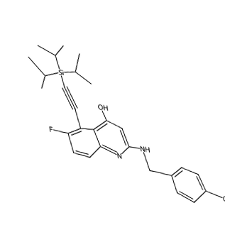 COc1ccc(CNc2cc(O)c3c(C#C[Si](C(C)C)(C(C)C)C(C)C)c(F)ccc3n2)cc1